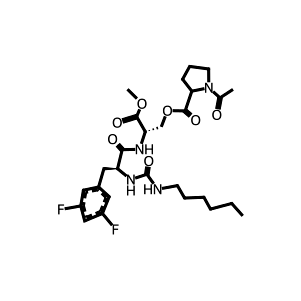 CCCCCCNC(=O)N[C@@H](Cc1cc(F)cc(F)c1)C(=O)N[C@@H](COC(=O)C1CCCN1C(C)=O)C(=O)OC